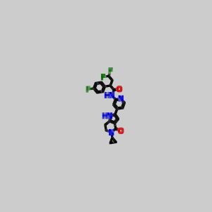 O=C(Nc1cc(-c2cc3c([nH]2)CCN(C2CC2)C3=O)ccn1)C(CC(F)F)c1ccc(F)cc1